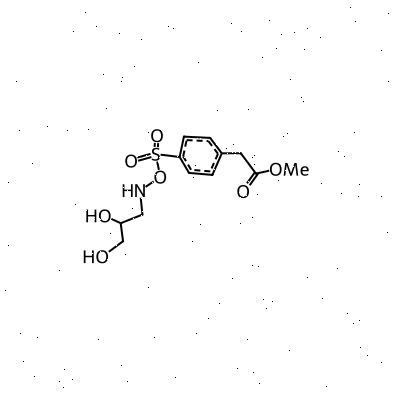 COC(=O)Cc1ccc(S(=O)(=O)ONCC(O)CO)cc1